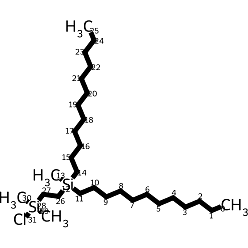 CCCCCCCCCCCC[Si](C)(CCCCCCCCCCCC)CC[Si](C)(C)Cl